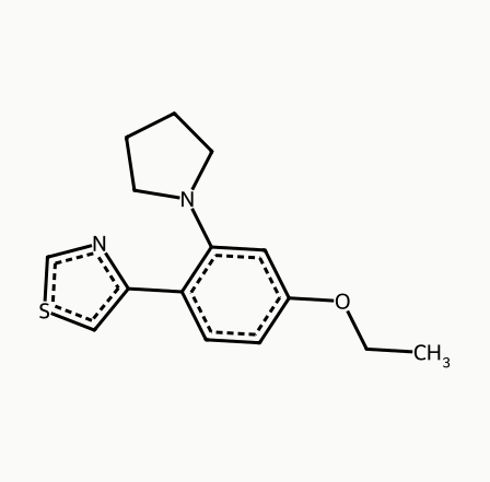 CCOc1ccc(-c2cscn2)c(N2CCCC2)c1